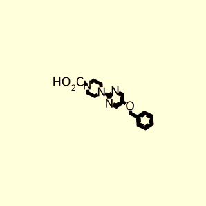 O=C(O)N1CCN(c2ncc(OCc3ccccc3)cn2)CC1